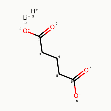 O=C([O-])CCCC(=O)[O-].[H+].[Li+]